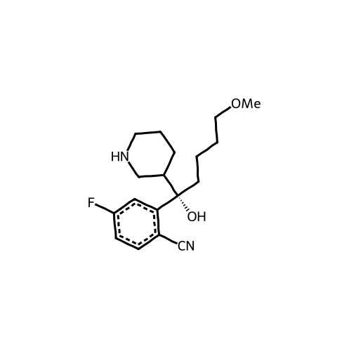 COCCCC[C@@](O)(c1cc(F)ccc1C#N)C1CCCNC1